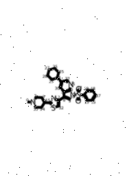 CN1CCC(c2nc(-c3cn(S(=O)(=O)c4ccccc4)c4ncc(C5CCCCC5)cc34)cs2)CC1